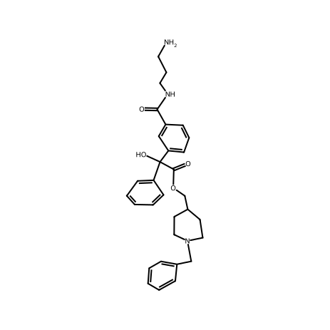 NCCCNC(=O)c1cccc(C(O)(C(=O)OCC2CCN(Cc3ccccc3)CC2)c2ccccc2)c1